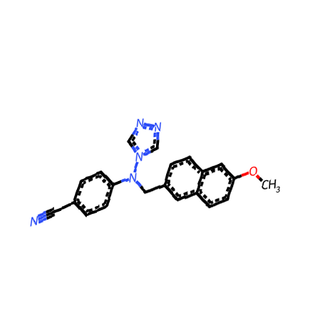 COc1ccc2cc(CN(c3ccc(C#N)cc3)n3cnnc3)ccc2c1